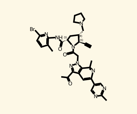 C#C[C@@H]1[C@@H](CN2CCCC2)C[C@@H](C(=O)Nc2nc(Br)ccc2C)N1C(=O)Cn1nc(C(C)=O)c2cc(-c3cnc(C)nc3)nc(C)c21